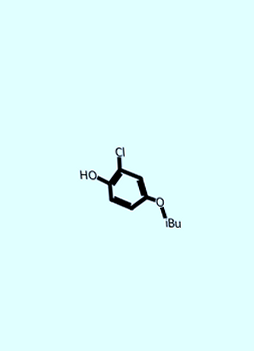 CCC(C)Oc1ccc(O)c(Cl)c1